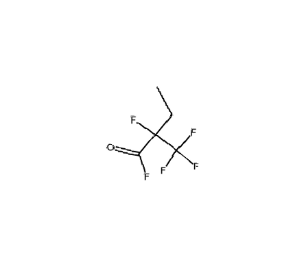 CCC(F)(C(=O)F)C(F)(F)F